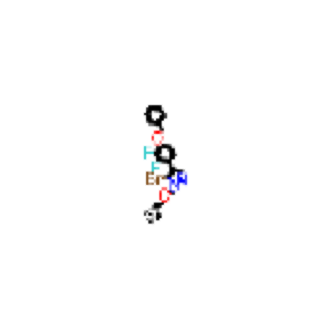 C[Si](C)(C)CCOCn1ncc(-c2ccc(OCc3ccccc3)c(F)c2F)c1Br